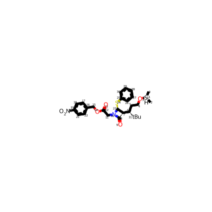 C[SiH](C)OCC[C@@H]([C@@H]1C(=O)N(CC(=O)OCc2ccc([N+](=O)[O-])cc2)[C@H]1Sc1ccccc1)C(C)(C)C